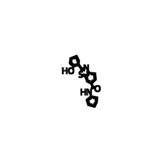 O=C(Nc1ccccc1)c1ccc2nc(-c3ccccc3O)sc2c1